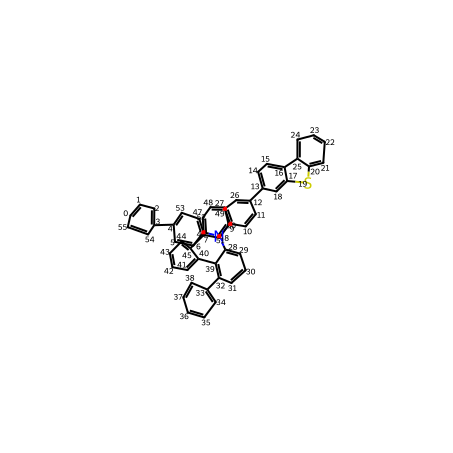 c1ccc(-c2ccc(N(c3ccc(-c4ccc5c(c4)sc4ccccc45)cc3)c3cccc(-c4ccccc4)c3-c3ccccc3-c3ccccc3)cc2)cc1